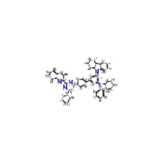 c1ccc(-c2cc(-c3ccc(-c4cc(-n5c6ccccc6c6ccccc65)cc(-n5c6ccccc6c6ccccc65)c4)cc3)nc(-c3ccc4ccccc4n3)n2)cc1